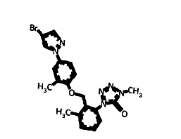 Cc1cc(-n2cc(Br)cn2)ccc1OCc1c(C)cccc1-n1nnn(C)c1=O